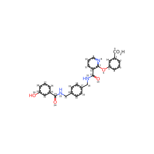 O=C(O)c1cccc(Oc2ncccc2C(=O)NCc2ccc(CNC(=O)c3cccc(O)c3)cc2)c1